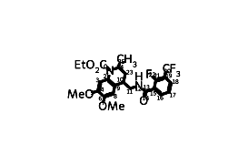 CCOC(=O)N1c2cc(OC)c(OC)cc2C(CNC(=O)c2cccc(C(F)(F)F)c2F)CC1C